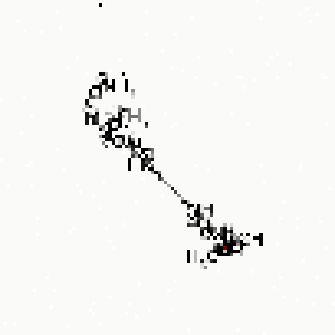 Cc1ccc(N(CCCN2CCC(Cc3ccc(C(N)=O)cc3)CC2)C(=O)C2CCN(C(=O)COCC(=O)NCCCCCCCCCCCCNC(=O)COCC(=O)N[C@H]3CC[C@@]4(O)C5Cc6ccc(O)c7c6[C@@]4(CCN5C)[C@H]3O7)CC2)cc1Cl